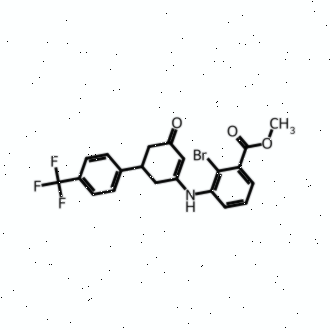 COC(=O)c1cccc(NC2=CC(=O)CC(c3ccc(C(F)(F)F)cc3)C2)c1Br